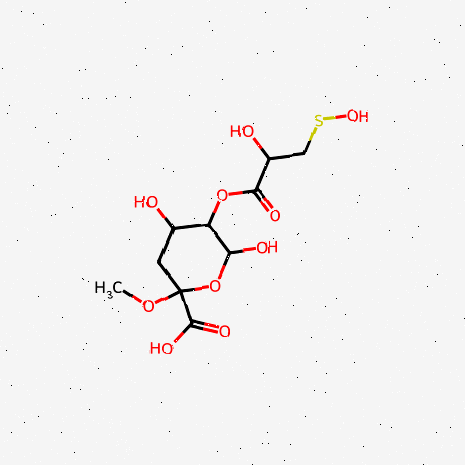 COC1(C(=O)O)CC(O)C(OC(=O)C(O)CSO)C(O)O1